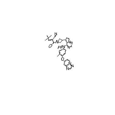 Cc1cc(Nc2ncnn3ccc(C4CN(C(=O)C(C#N)=CC(C)(C)C)C4)c23)ccc1Oc1ccn2ncnc2c1